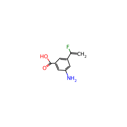 C=C(F)c1cc(N)cc(C(=O)O)c1